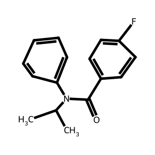 CC(C)N(C(=O)c1ccc(F)cc1)c1ccccc1